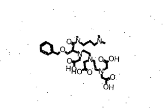 CN(C)CCCN(C)C(=O)C(COCc1ccccc1)N(CCN(CCN(CC(=O)O)CC(=O)O)CC(=O)O)CC(=O)O